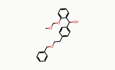 COCOc1ccccc1C(O)c1ccc(CCOCc2ccccc2)cc1